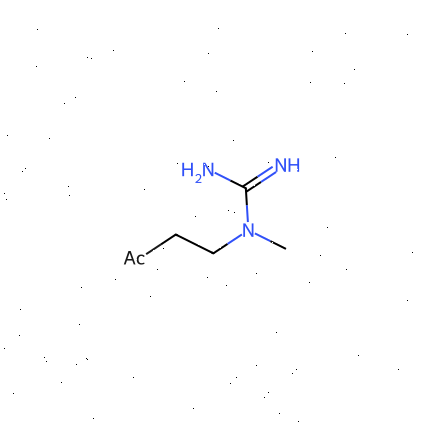 CC(=O)CCN(C)C(=N)N